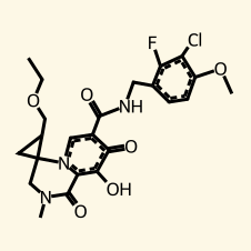 CCOCC1CC12CN(C)C(=O)c1c(O)c(=O)c(C(=O)NCc3ccc(OC)c(Cl)c3F)cn12